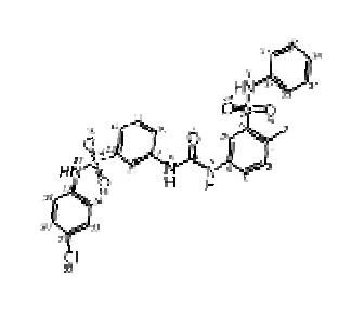 Cc1ccc(NC(=O)Nc2cccc(S(=O)(=O)Nc3ccc(Cl)cc3)c2)cc1S(=O)(=O)Nc1ccccc1